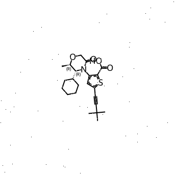 C[C@H]1OCC(=O)N(c2cc(C#CC(C)(C)C)sc2C(=O)O)[C@@H]1C1CCCCC1